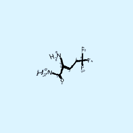 NC(=O)C(N)CCC(F)(F)F